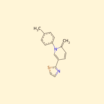 C=C1C=CC(c2nccs2)=CN1c1ccc(C)cc1